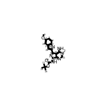 COc1ccc2[nH]c(-c3nn(NC(=O)OC(C)(C)C)c4ncnc(N)c34)cc2c1